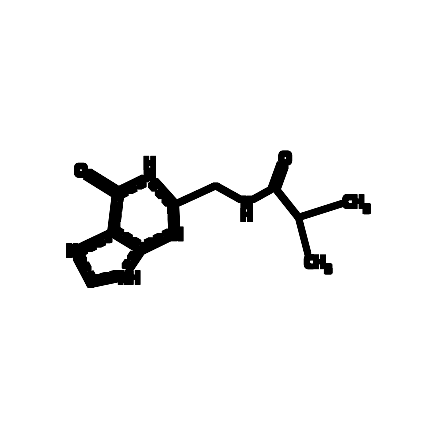 CC(C)C(=O)NCc1nc2[nH]cnc2c(=O)[nH]1